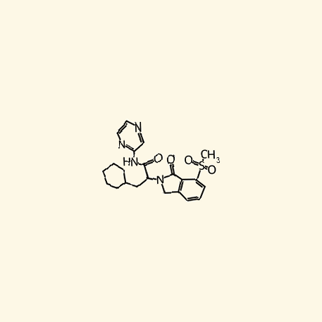 CS(=O)(=O)c1cccc2c1C(=O)N(C(CC1CCCCC1)C(=O)Nc1cnccn1)C2